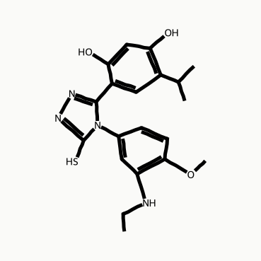 CCNc1cc(-n2c(S)nnc2-c2cc(C(C)C)c(O)cc2O)ccc1OC